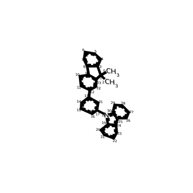 CC1(C)c2ccccc2-c2ccc(-c3cccc(-n4c5ccccc5c5ccccc54)c3)cc21